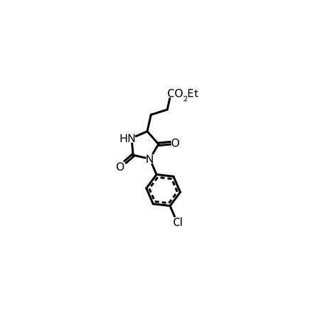 CCOC(=O)CCC1NC(=O)N(c2ccc(Cl)cc2)C1=O